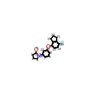 O=C1CCCN1c1cccc(Oc2ccc(F)c3c2CCC3)c1